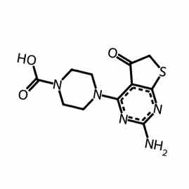 Nc1nc2c(c(N3CCN(C(=O)O)CC3)n1)C(=O)CS2